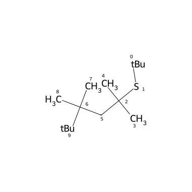 CC(C)(C)SC(C)(C)CC(C)(C)C(C)(C)C